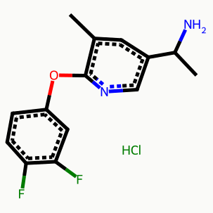 Cc1cc(C(C)N)cnc1Oc1ccc(F)c(F)c1.Cl